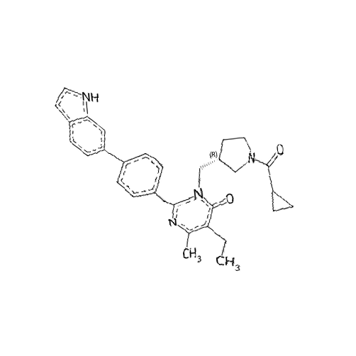 CCc1c(C)nc(-c2ccc(-c3ccc4cc[nH]c4c3)cc2)n(C[C@@H]2CCN(C(=O)C3CC3)C2)c1=O